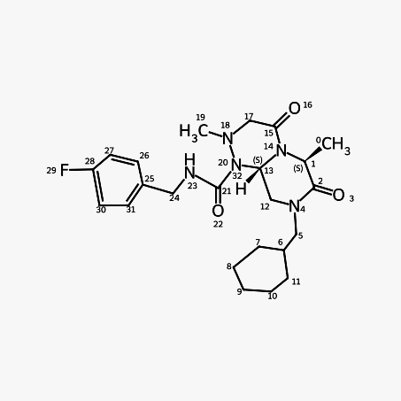 C[C@H]1C(=O)N(CC2CCCCC2)C[C@H]2N1C(=O)CN(C)N2C(=O)NCc1ccc(F)cc1